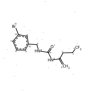 C=C(CCC(F)(F)F)NC(=O)NCc1cccc(Br)c1